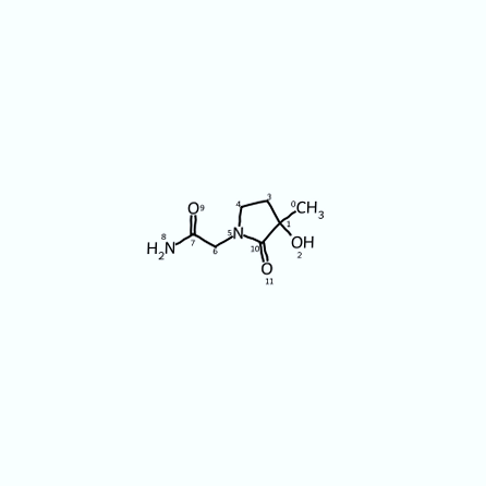 CC1(O)CCN(CC(N)=O)C1=O